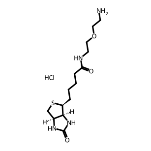 Cl.NCCOCCNC(=O)CCCC[C@@H]1SC[C@@H]2NC(=O)N[C@@H]21